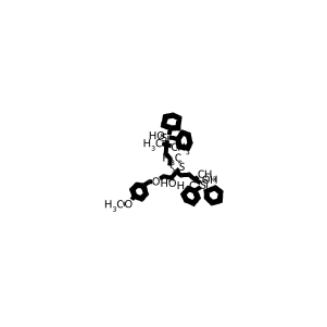 COc1ccc(COC[C@H](O)[C@](CCCC(C)(C)[Si](O)(c2ccccc2)c2ccccc2)(CCC(C)(C)[Si](O)(c2ccccc2)c2ccccc2)SC)cc1